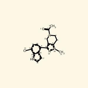 CC(=O)N1CCc2c(c(-c3ccc(Cl)c4[nH]ccc34)nn2C)C1